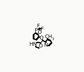 Cc1cccnc1C(Oc1ccccc1OC(F)(F)F)[C@@H]1CNCCO1